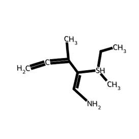 C=C=C(C)C(=CN)[SH](C)CC